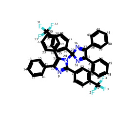 FC(F)(F)c1ccc(-c2nc(-c3ccccc3)c(-c3ccccc3)n2C2(c3ccc(C(F)(F)F)cc3)N=C(c3ccccc3)C(c3ccccc3)=N2)cc1